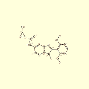 COc1ncnc(OC)c1-c1cc2cc(NC(=O)[C@@H]3C[C@@H]3F)ncc2n1C